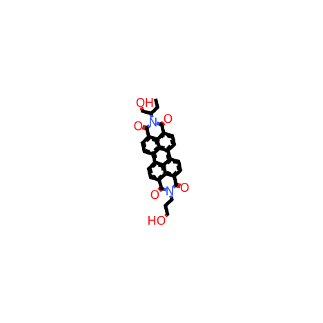 CCC(CO)N1C(=O)c2ccc3c4ccc5c6c(ccc(c7ccc(c2c37)C1=O)c64)C(=O)N(CCCO)C5=O